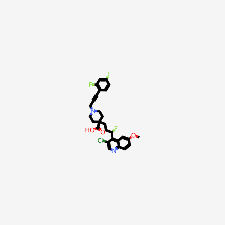 COc1ccc2ncc(Cl)c(C(F)CCC3(C(=O)O)CCN(CC#Cc4ccc(F)cc4F)CC3)c2c1